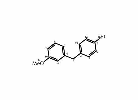 CCc1ccc([CH]c2cccc(OC)c2)cc1